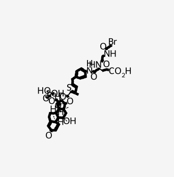 Cc1cc(Cc2ccc(NC(=O)[C@H](CCC(=O)O)NC(=O)CNC(=O)CBr)cc2)sc1[C@@H]1O[C@@H]2C[C@H]3[C@@H]4CCC5=CC(=O)C=C[C@]5(C)[C@H]4[C@@H](O)C[C@]3(C)[C@]2(C(=O)COP(=O)(O)O)O1